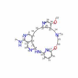 CNc1ncc2c3cc(ncc13)Nc1cccc(n1)OCCN(C)Cc1cc(ncc1OC)CC2